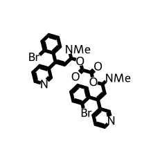 CNC(/C=C(/c1cccnc1)c1ccccc1Br)OC(=O)C(=O)OC(/C=C(/c1cccnc1)c1ccccc1Br)NC